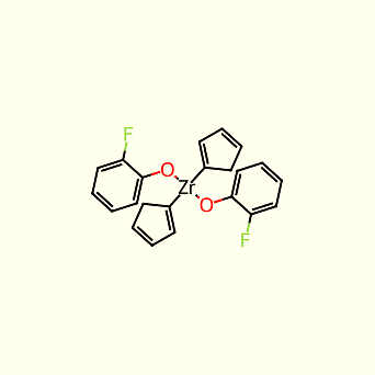 Fc1ccccc1[O][Zr]([O]c1ccccc1F)([C]1=CC=CC1)[C]1=CC=CC1